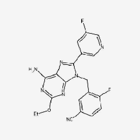 CCOc1nc(N)c2nc(-c3cncc(F)c3)n(Cc3cc(C#N)ccc3F)c2n1